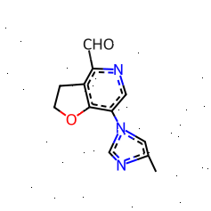 Cc1cn(-c2cnc(C=O)c3c2OCC3)cn1